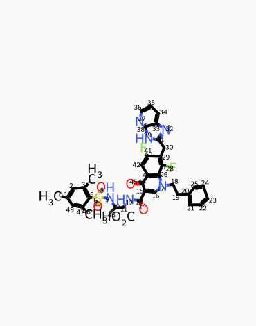 Cc1cc(C)c(S(=O)(=O)NC(CNC(=O)c2cn(CCc3ccccc3)c3c(F)c(Cc4nc5cccnc5[nH]4)c(F)cc3c2=O)C(=O)O)c(C)c1